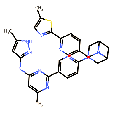 Cc1cc(Nc2cc(C)[nH]n2)nc(-c2ccc(N3CC4CC(C3)N4Cc3ccc(-c4ncc(C)s4)nc3)nc2)n1